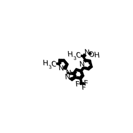 C/C(=N/O)c1cccc(-c2cc(C(F)(F)F)c3cnn(-c4cccc(C)n4)c3c2)n1